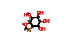 OC1C(O)C(O)C2SCOC2C1O